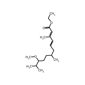 CCOC(=O)/C=C(C)/C=C/CC(C)CCC(OC)C(C)C